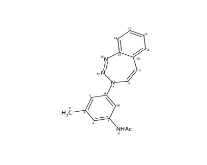 CC(=O)Nc1cc(C)cc(N2C=Cc3ccccc3N=N2)c1